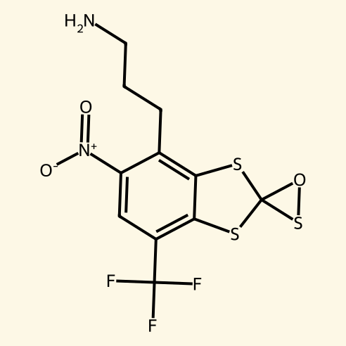 NCCCc1c([N+](=O)[O-])cc(C(F)(F)F)c2c1SC1(OS1)S2